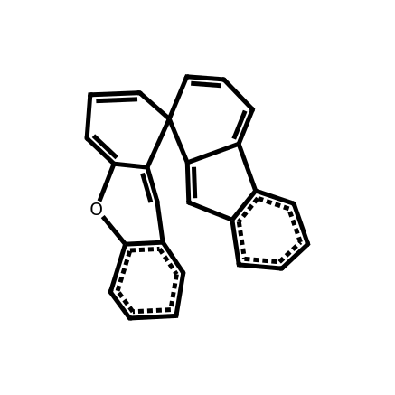 C1=CC2(C=CC=C3C2=Cc2ccccc23)C2=Cc3ccccc3OC2=C1